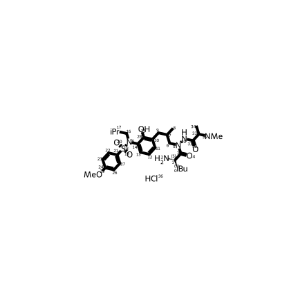 CC[C@H](C)[C@H](N)C(=O)N(CC(C)Cc1cccc(N(CC(C)C)S(=O)(=O)c2ccc(OC)cc2)c1O)NC(=O)C(C)NC.Cl